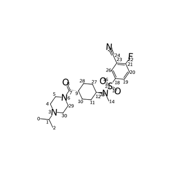 CC(C)N1CCN(C(=O)[C@H]2CC[C@H](N(C)S(=O)(=O)c3ccc(F)c(C#N)c3)CC2)CC1